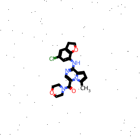 Cc1ccc2c(Nc3cc(Cl)cc4c3OCC4)ncc(C(=O)N3CCOCC3)n12